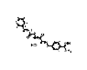 Cl.N=C(N)c1ccc(CNCC(=O)NCC(=O)NCc2cccnc2)cc1